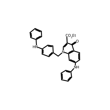 CCOC(=O)c1cn(Cc2ccc(Nc3ccccc3)cc2)c2cc(Nc3ccccc3)ccc2c1=O